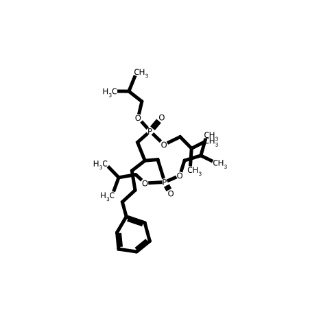 CC(C)COP(=O)(CC(CCCc1ccccc1)CP(=O)(OCC(C)C)OCC(C)C)OCC(C)C